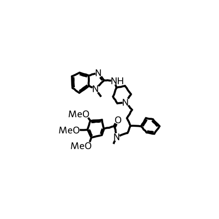 COc1cc(C(=O)N(C)CC(CCN2CCC(Nc3nc4ccccc4n3C)CC2)c2ccccc2)cc(OC)c1OC